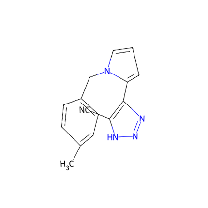 Cc1ccc(Cn2cccc2-c2nn[nH]c2C#N)cc1